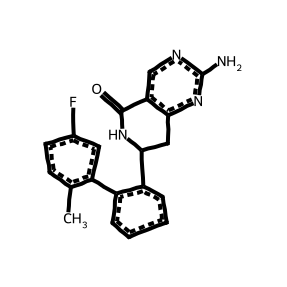 Cc1ccc(F)cc1-c1ccccc1C1Cc2nc(N)ncc2C(=O)N1